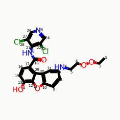 CCOOCCNc1ccc2oc3c(O)ccc(C(=O)Nc4c(Cl)cncc4Cl)c3c2c1